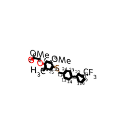 COC(=O)COc1cc(OC)c(SCc2ccc(-c3cccc(C(F)(F)F)c3)cc2)cc1C